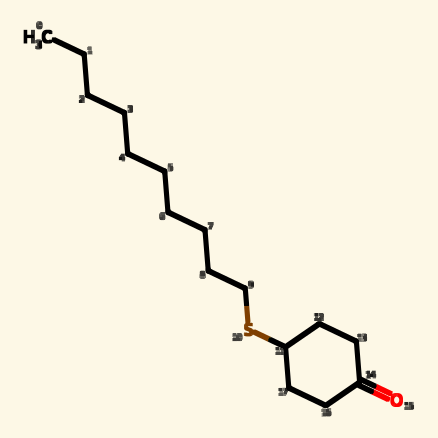 CCCCCCCCCCSC1CCC(=O)CC1